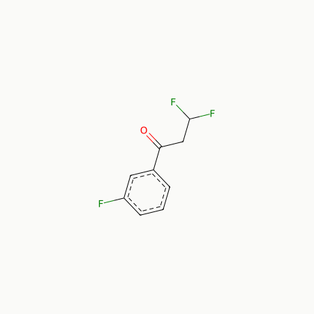 O=C(CC(F)F)c1cccc(F)c1